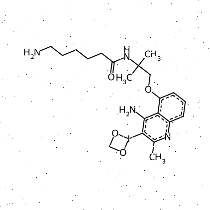 Cc1nc2cccc(OCC(C)(C)NC(=O)CCCCCN)c2c(N)c1I1OCO1